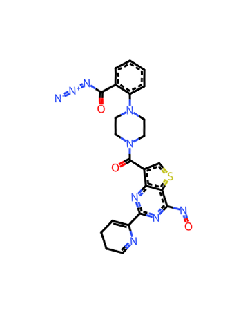 [N-]=[N+]=NC(=O)c1ccccc1N1CCN(C(=O)c2csc3c(N=O)nc(C4=CCCC=N4)nc23)CC1